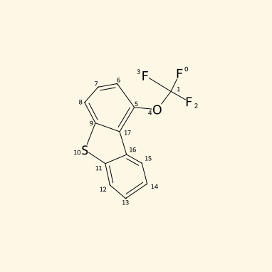 FC(F)(F)Oc1cccc2sc3ccccc3c12